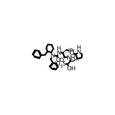 CC(C)C[C@H](NC(=O)N(Cc1ccccc1)C1CCCCC1Cc1ccccc1)C(=O)N[C@@H](C[C@@H]1CCNC1=O)C(O)S(=O)(=O)O